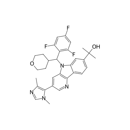 Cc1ncn(C)c1-c1cnc2c3ccc(C(C)(C)O)cc3n(C(c3c(F)cc(F)cc3F)C3CCOCC3)c2c1